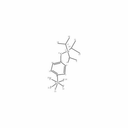 CC(C)[Si](Sc1ccc(S(F)(F)(F)(F)F)cc1)(C(C)C)C(C)C